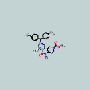 CCN(C(=O)N1CCN(C(c2ccc(C(F)(F)F)cc2)c2ccc(C(F)(F)F)cc2)C[C@@H]1C(C)(C)C)C1CCN(C(=O)OC(C)(C)C)CC1